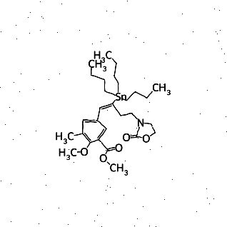 CCC[CH2][Sn]([CH2]CCC)([CH2]CCC)/[C](=C/c1cc(C)c(OC)c(C(=O)OC)c1)CCN1CCOC1=O